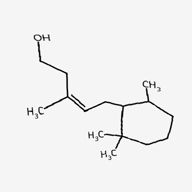 CC(=CCC1C(C)CCCC1(C)C)CCO